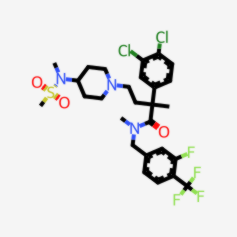 CN(Cc1ccc(C(F)(F)F)c(F)c1)C(=O)C(C)(CCN1CCC(N(C)S(C)(=O)=O)CC1)c1ccc(Cl)c(Cl)c1